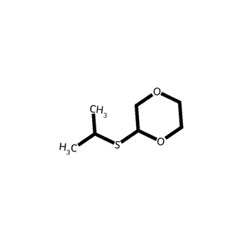 CC(C)SC1COCCO1